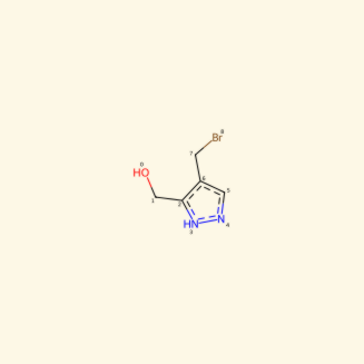 OCc1[nH]ncc1CBr